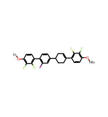 CCCCOc1ccc(C2=CCC(c3ccc(-c4ccc(OCC)c(F)c4F)c(I)c3)CC2)c(F)c1F